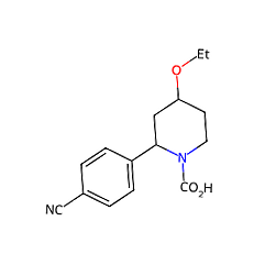 CCOC1CCN(C(=O)O)C(c2ccc(C#N)cc2)C1